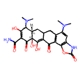 CN(C)c1cc2[nH]c(=O)oc2c2c1CC1C[C@H]3C(N(C)C)C(O)=C(C(N)=O)C(=O)[C@@]3(O)C(O)=C1C2=O